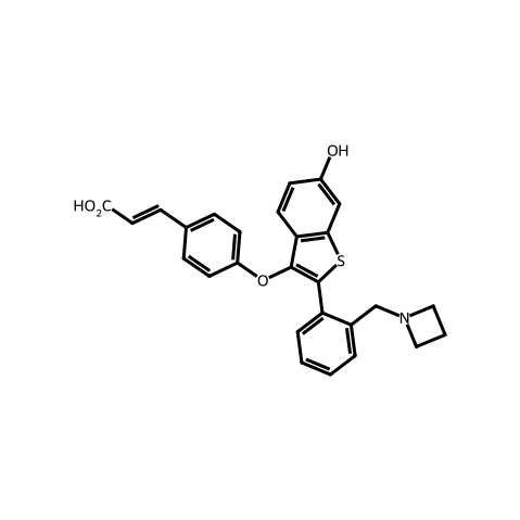 O=C(O)/C=C/c1ccc(Oc2c(-c3ccccc3CN3CCC3)sc3cc(O)ccc23)cc1